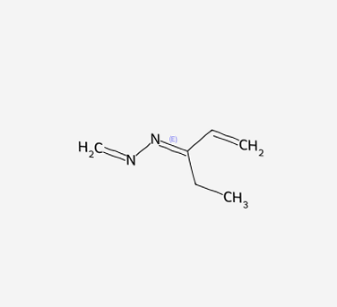 C=C/C(CC)=N/N=C